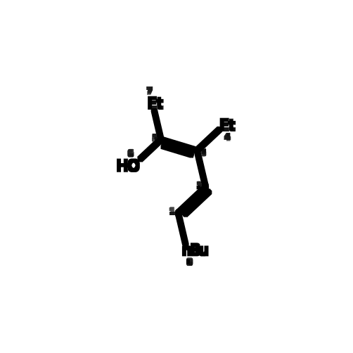 CCCCC=CC(CC)=C(O)CC